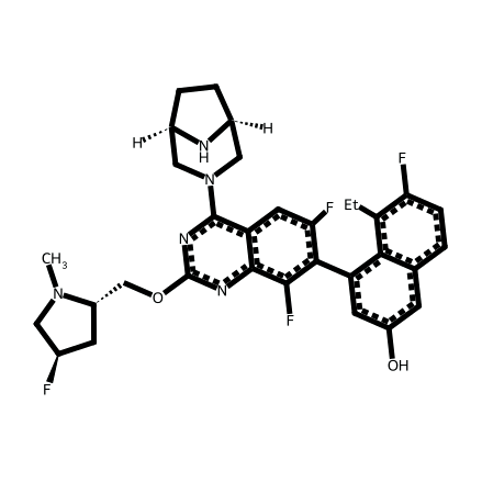 CCc1c(F)ccc2cc(O)cc(-c3c(F)cc4c(N5C[C@H]6CC[C@@H](C5)N6)nc(OC[C@@H]5C[C@@H](F)CN5C)nc4c3F)c12